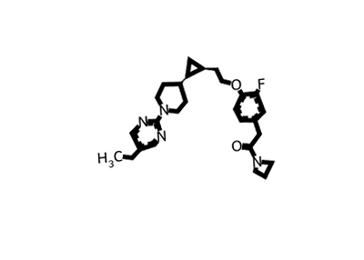 CCc1cnc(N2CCC([C@@H]3C[C@H]3CCOc3ccc(CC(=O)N4CCC4)cc3F)CC2)nc1